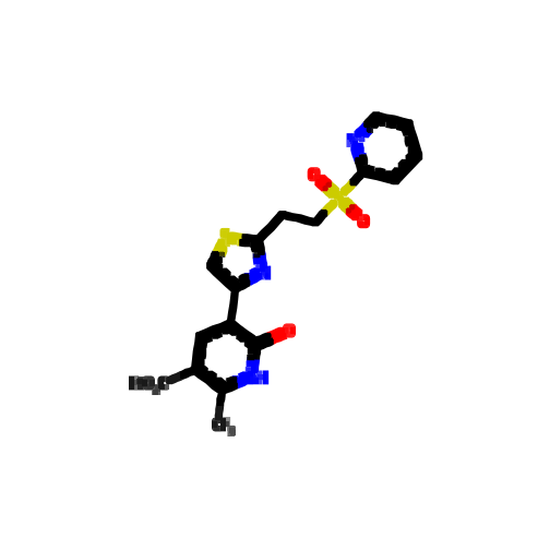 CCOC(=O)c1cc(-c2csc(CCS(=O)(=O)c3ccccn3)n2)c(=O)[nH]c1C(F)(F)F